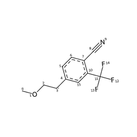 COC[CH]c1ccc(C#N)c(C(F)(F)F)c1